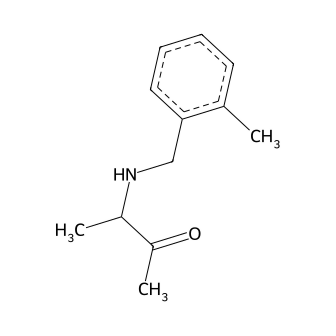 CC(=O)C(C)NCc1ccccc1C